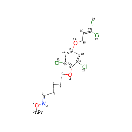 CCCON=CCCCCOc1c(Cl)cc(OCC=C(Cl)Cl)cc1Cl